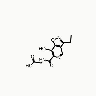 CCc1noc2c(O)c(C(=O)NCC(=O)O)ncc12